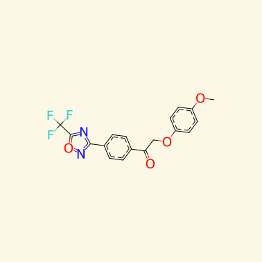 COc1ccc(OCC(=O)c2ccc(-c3noc(C(F)(F)F)n3)cc2)cc1